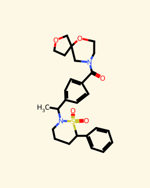 CC(c1ccc(C(=O)N2CCOC3(CCOC3)C2)cc1)N1CCCC(c2ccccc2)S1(=O)=O